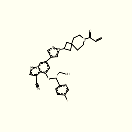 C=CC(=O)N1CCC2(CC1)CC(n1cc(-c3cc(O[C@H](CO)c4ccc(F)cn4)c4c(C#N)cnn4c3)cn1)C2